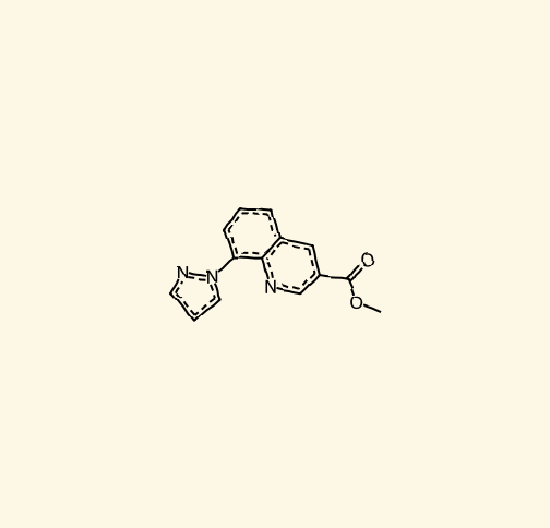 COC(=O)c1cnc2c(-n3cccn3)cccc2c1